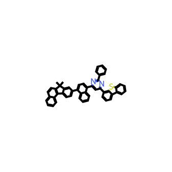 CC1(C)c2cc(-c3ccc(-c4cc(-c5cccc6c5sc5ccccc56)nc(-c5ccccc5)n4)c4ccccc34)ccc2-c2c1ccc1ccccc21